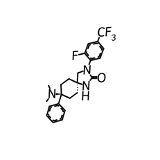 CN(C)[C@]1(c2ccccc2)CC[C@]2(CC1)CN(c1ccc(C(F)(F)F)cc1F)C(=O)N2